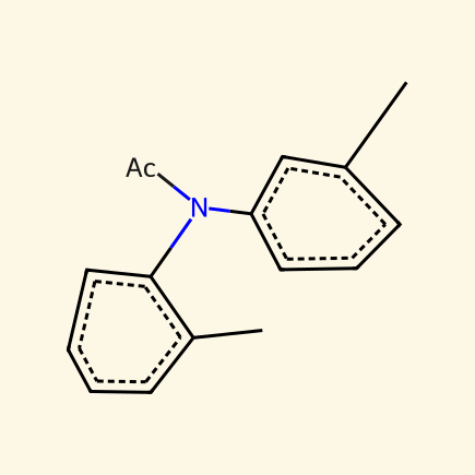 CC(=O)N(c1cccc(C)c1)c1ccccc1C